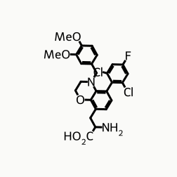 COc1ccc(CN2CCOc3c(CC(N)C(=O)O)ccc(-c4c(Cl)cc(F)cc4Cl)c32)cc1OC